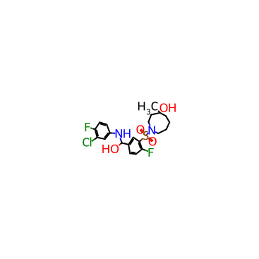 CC1(O)CCCCN(S(=O)(=O)c2cc(C(O)Nc3ccc(F)c(Cl)c3)ccc2F)CC1